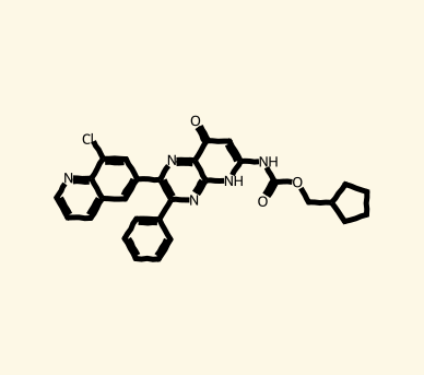 O=C(Nc1cc(=O)c2nc(-c3cc(Cl)c4ncccc4c3)c(-c3ccccc3)nc2[nH]1)OCC1CCCC1